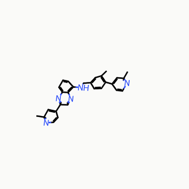 Cc1cc(-c2cnc3c(NCc4ccc(-c5ccnc(C)c5)c(C)c4)cccc3n2)ccn1